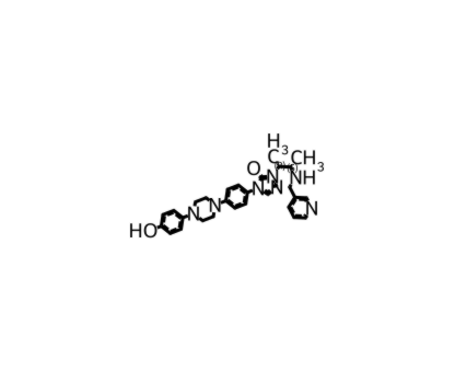 C[C@H](NCc1cccnc1)[C@@H](C)n1ncn(-c2ccc(N3CCN(c4ccc(O)cc4)CC3)cc2)c1=O